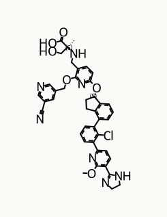 COc1nc(-c2cccc(-c3cccc4c3CC[C@@H]4Oc3ccc(CN[C@@](C)(CO)C(=O)O)c(OCc4cncc(C#N)c4)n3)c2Cl)ccc1C1=NCCN1